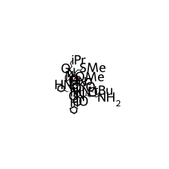 COC(=O)C(CCSC)N(C(=O)CCC(C)C)N1CC[C@@H](NC(=O)[C@@H](Cc2ccccc2)NC(=O)[C@@H](Cc2c[nH]c3ccccc23)N(C(=O)OCc2ccccc2)C(=O)[C@H](CCCCN)NC(=O)OC(C)(C)C)C1=O